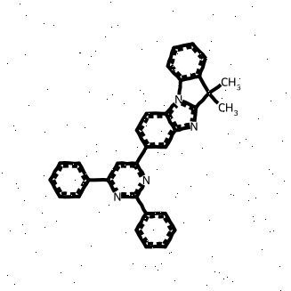 CC1(C)c2ccccc2-n2c1nc1cc(-c3cc(-c4ccccc4)nc(-c4ccccc4)n3)ccc12